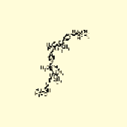 CC(C)(CC[C@@H](OCCCOCCNC(C)(C)C)C(C)(C)C)CCN1CCN(CCNC(C)(C)CCC(C)(C)CCN2CCN(CCCNC(C)(C)C)CC2)CC1